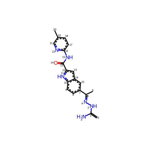 C=C(N)N/N=C(\C)c1ccc2[nH]c(C(=O)Nc3ccc(C)cn3)cc2c1